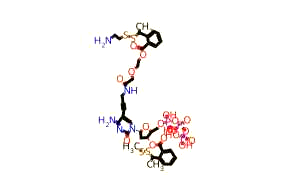 CSSC(C)c1ccccc1C(=O)O[C@@H]1C[C@H](n2cc(C#CCNC(=O)COCCOC(=O)c3ccccc3C(C)SSCCN)c(N)nc2=O)OC1COP(=O)(O)OP(=O)(O)OP(=O)(O)O